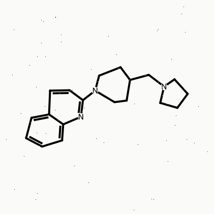 [c]1cc2ccccc2nc1N1CCC(CN2CCCC2)CC1